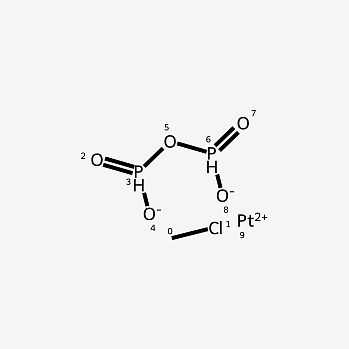 CCl.O=[PH]([O-])O[PH](=O)[O-].[Pt+2]